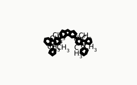 Cc1cc(-c2ccc3c(c2)-c2cc(-c4cc(C)c5c(c4C)C4(C)CCCCC4(C)N5c4ccccc4)ccc2C3)c(C)c2c1N(c1ccccc1)C1(C)CCCCC21C